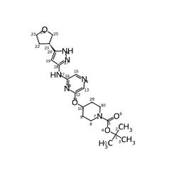 CC(C)(C)OC(=O)N1CCC(Oc2cncc(Nc3cc([C@H]4CCOC4)[nH]n3)n2)CC1